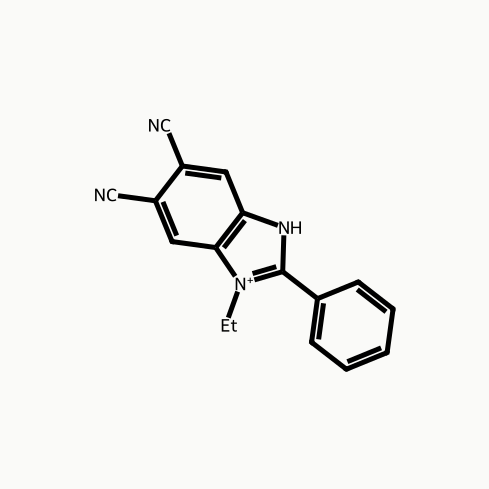 CC[n+]1c(-c2ccccc2)[nH]c2cc(C#N)c(C#N)cc21